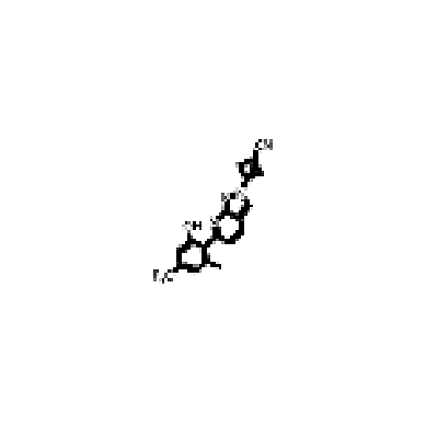 Cc1cc(C(F)(F)F)cc(O)c1-c1ccc2cn(C34CC(C#N)(C3)C4)nc2n1